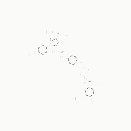 Cc1ccc(-n2nc(C(C)(C)C)cc2NC(=O)Nc2ccc(CC3CCN(S(=O)(=O)c4cc(C)c(Cl)cc4C)CC3)cc2)cc1